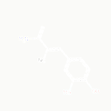 C=C(N)/C(C#N)=C/c1ccc(O)c(O)c1